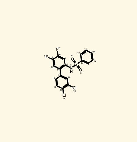 O=S(=O)(Nc1cc(F)c(F)cc1-c1ccc(Cl)c(Cl)c1)c1ccccc1